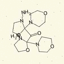 NN1CCOC1(C(=O)C1(N2CCOCC2)OCCN1N)N1CCOCC1